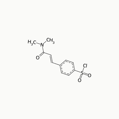 CN(C)C(=O)C=Cc1ccc(S(=O)(=O)Cl)cc1